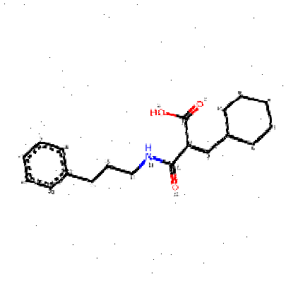 O=C(O)C(CC1CCCCC1)C(=O)NCCCc1ccccc1